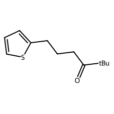 CC(C)(C)C(=O)CCCc1cccs1